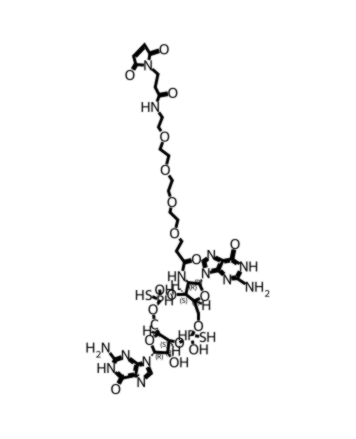 Nc1nc2c(ncn2[C@@H]2O[C@@H]3CO[PH](O)(S)O[C@H]4[C@@H](NC(=O)CCOCCOCCOCCOCCNC(=O)CCN5C(=O)C=CC5=O)[C@H](n5cnc6c(=O)[nH]c(N)nc65)O[C@@H]4CO[PH](O)(S)O[C@H]3[C@H]2O)c(=O)[nH]1